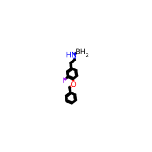 BNCCc1ccc(OCc2ccccc2)c(I)c1